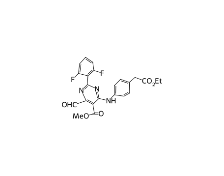 CCOC(=O)Cc1ccc(Nc2nc(-c3c(F)cccc3F)nc(C=O)c2C(=O)OC)cc1